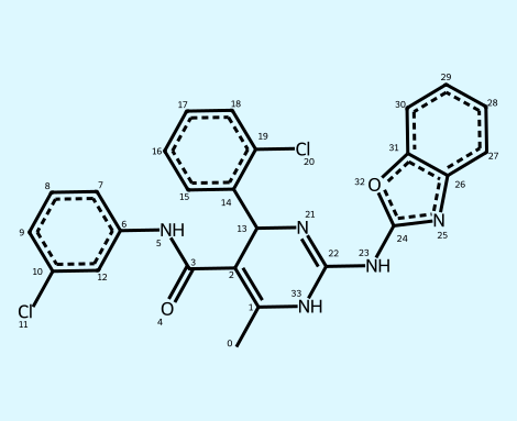 CC1=C(C(=O)Nc2cccc(Cl)c2)C(c2ccccc2Cl)N=C(Nc2nc3ccccc3o2)N1